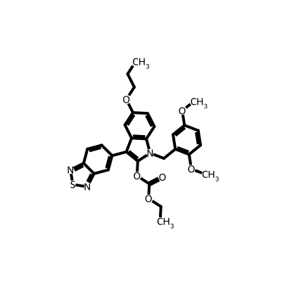 CCCOc1ccc2c(c1)c(-c1ccc3nsnc3c1)c(OC(=O)OCC)n2Cc1cc(OC)ccc1OC